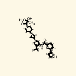 CC(C)(O)C(=O)N1CCC(N2CC(n3cc(NC(=O)c4cccc(-c5cc[nH]n5)n4)c(C(F)F)n3)C2)CC1